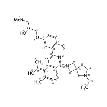 CNC[C@@H](O)COc1ccc(Cl)c(-c2nc(/C(C(C)=N)=C(\C)O)c(C)c(N3CC4(CCN(CC(F)(F)F)C4)C3)n2)c1